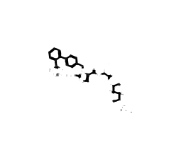 CCCCc1nc(Cl)c(C(=O)N[C@@H](C)C(=O)O[C@H]2CO[C@H]3[C@@H]2OC[C@H]3ON(O)O)n1Cc1ccc(-c2ccccc2-c2nnn[nH]2)cc1